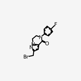 O=C1c2cc(CBr)nn2CCN1c1ccc(F)cc1